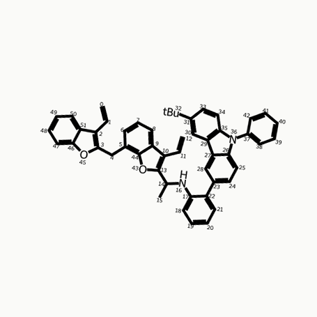 C=Cc1c(Cc2cccc3c(C=C)c(C(C)Nc4ccccc4-c4ccc5c(c4)c4cc(C(C)(C)C)ccc4n5-c4ccccc4)oc23)oc2ccccc12